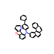 c1ccc(-c2ccc(N(c3ccc4ccc5ccc6ccccc6c5c4c3)c3cccc4oc5cccnc5c34)cc2)cc1